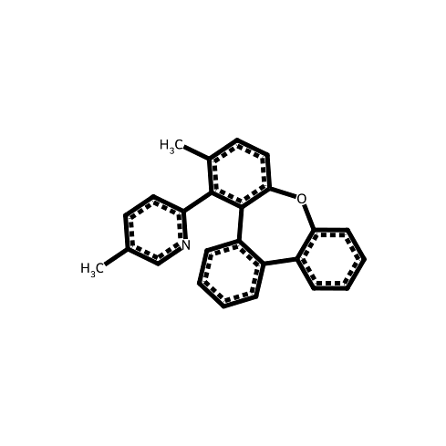 Cc1ccc(-c2c(C)ccc3c2-c2ccccc2-c2ccccc2O3)nc1